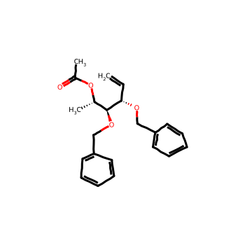 C=C[C@H](OCc1ccccc1)[C@@H](OCc1ccccc1)[C@H](C)OC(C)=O